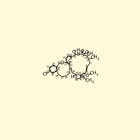 CC[C@]1(OC)/C=C/C[C@H](C)[C@@H](C)S(=O)(=O)NC(=O)c2ccc3c(c2)N(CCCCc2cc(Cl)ccc2CO3)C[C@@H]2CC[C@H]21